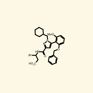 COc1cccc(OCc2ccccc2)c1-c1cc(C(=O)NC(CC(=O)O)C(C)C)nn1CC1CCCCC1